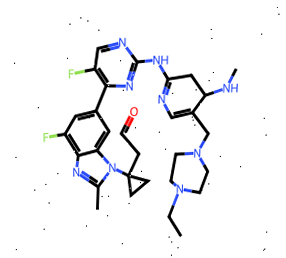 CCN1CCN(CC2=CN=C(Nc3ncc(F)c(-c4cc(F)c5nc(C)n(C6(CC=O)CC6)c5c4)n3)CC2NC)CC1